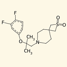 CC(C)(CN1CCC2(CC1)CS(=O)(=O)C2)Oc1ccc(F)c(F)c1